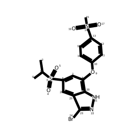 CC(C)S(=O)(=O)c1cc(Oc2ccc(S(C)(=O)=O)cc2)c2[nH]nc(Br)c2c1